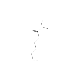 CCCCCCCCCC(=O)N(O)Br